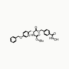 CC(C)(C)OC(=O)N[C@H](Cc1ccc(OCc2ccccc2)cn1)C(=O)OCc1ccc(C(=O)NO)cc1